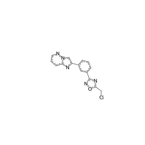 ClCc1nc(-c2cccc(-c3cn4ncccc4n3)c2)no1